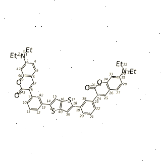 CCN(CC)c1ccc2cc(-c3cccc(-c4cc5sc(-c6cccc(-c7cc8ccc(N(CC)CC)cc8oc7=O)c6)cc5s4)c3)c(=O)oc2c1